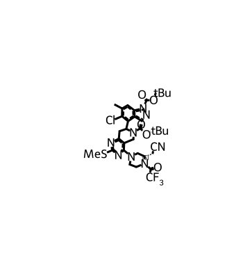 CSc1nc2c(c(N3CCN(C(=O)C(F)(F)F)[C@@H](CC#N)C3)n1)CN(C(=O)OC(C)(C)C)C(c1c(Cl)c(C)cc3c1cnn3C(=O)OC(C)(C)C)C2